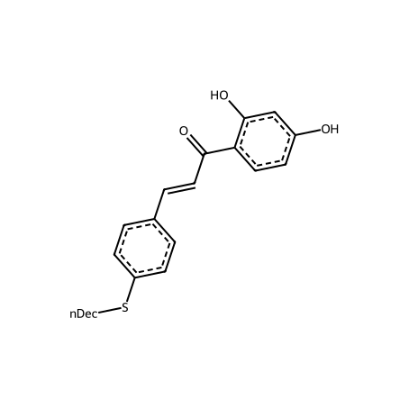 CCCCCCCCCCSc1ccc(C=CC(=O)c2ccc(O)cc2O)cc1